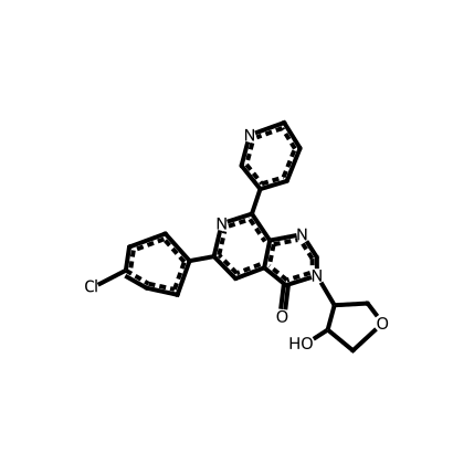 O=c1c2cc(-c3ccc(Cl)cc3)nc(-c3cccnc3)c2ncn1C1COCC1O